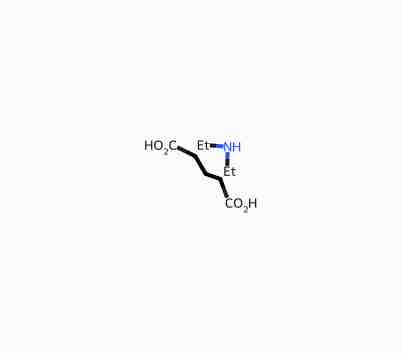 CCNCC.O=C(O)CCCC(=O)O